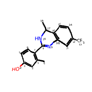 Cc1cc(O)ccc1C1=Nc2cc(C(F)(F)F)ccc2C(C)N1